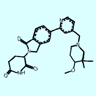 COC1CCN(Cc2ccnc(-c3ccc4c(c3)CN(C3CCC(=O)NC3=O)C4=O)c2)CC1(C)C